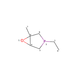 CCP1CC2OC2(C)C1